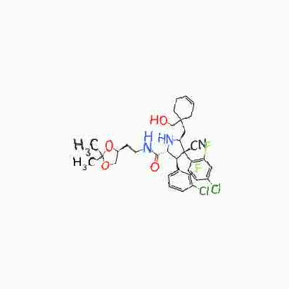 CC1(C)OC[C@H](CCNC(=O)[C@@H]2N[C@@H](CC3(CO)CC=CCC3)[C@](C#N)(c3ccc(Cl)cc3F)[C@H]2c2cccc(Cl)c2F)O1